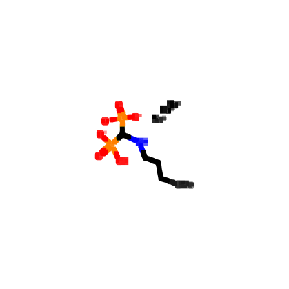 COCCCNC(P(=O)([O-])[O-])P(=O)([O-])O.[Na+].[Na+].[Na+]